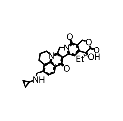 CC[C@@]1(O)C(=O)OCc2c1cc1n(c2=O)Cc2c-1c(=O)c1ccc(CNC3CC3)c3c1n2CCC3